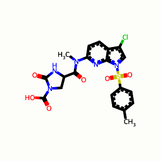 Cc1ccc(S(=O)(=O)n2cc(Cl)c3ccc(N(C)C(=O)C4CN(C(=O)O)C(=O)N4)nc32)cc1